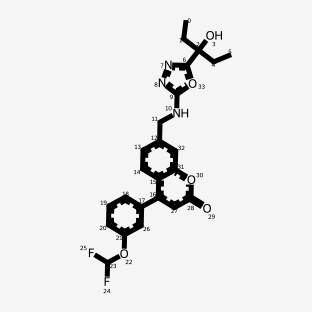 CCC(O)(CC)c1nnc(NCc2ccc3c(-c4cccc(OC(F)F)c4)cc(=O)oc3c2)o1